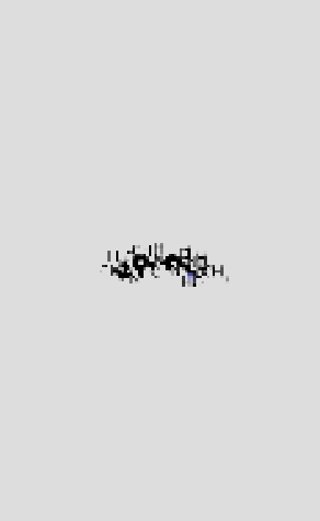 CN/C(O)=C\C(=N)c1ncc(NC(=O)C2CC(C)(C)c3c2cnc2cc(Cl)nn32)cc1Cl